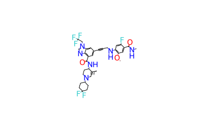 CNC(=O)c1cc(OC)c(NCC#Cc2cc(C(=O)NC3CCN(C4CCC(F)(F)CC4)C[C@@H]3C)c3ncn(CC(F)(F)F)c3c2)cc1F